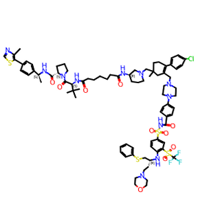 Cc1ncsc1-c1ccc([C@H](C)NC(=O)[C@@H]2CCCN2C(=O)[C@@H](NC(=O)CCCCCC(=O)N[C@@H]2CCCN(CC3(C)CCC(c4ccc(Cl)cc4)=C(CN4CCN(c5ccc(C(=O)NS(=O)(=O)c6ccc(N[C@H](CCN7CCOCC7)CSc7ccccc7)c(S(=O)(=O)C(F)(F)F)c6)cc5)CC4)C3)C2)C(C)(C)C)cc1